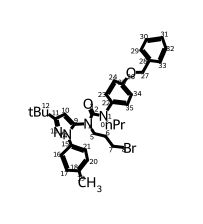 CCCN(C(=O)N(CCCBr)c1cc(C(C)(C)C)nn1-c1ccc(C)cc1)c1ccc(OCc2ccccc2)cc1